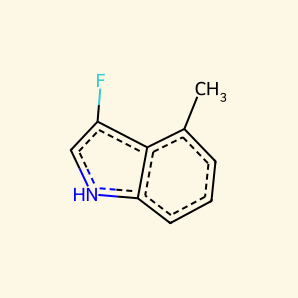 Cc1cccc2[nH]cc(F)c12